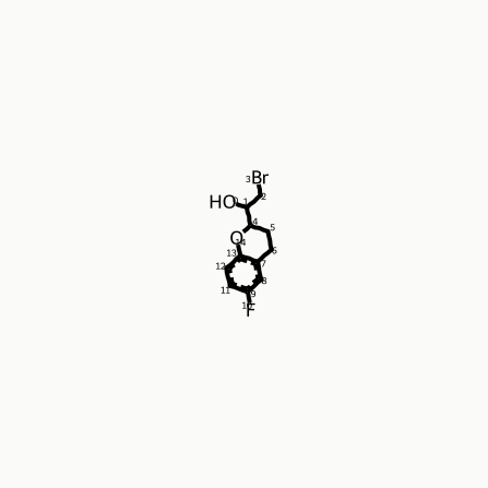 OC(CBr)C1CCc2cc(F)ccc2O1